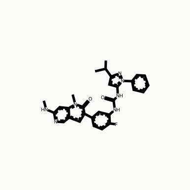 CNc1cc2c(cn1)cc(-c1ccc(F)c(NC(=O)Nc3cc(C(C)C)nn3-c3ccccc3)c1)c(=O)n2C